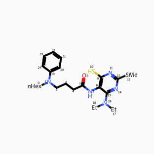 CCCCCCN(CCCC(=O)Nc1c(S)nc(SC)nc1N(CC)CC)c1ccccc1